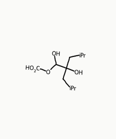 CC(C)CC(O)(CC(C)C)C(O)OC(=O)O